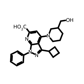 O=C(O)c1cc(N2CCCC(CO)C2)c2c(C3CCC3)nn(-c3ccccc3)c2n1